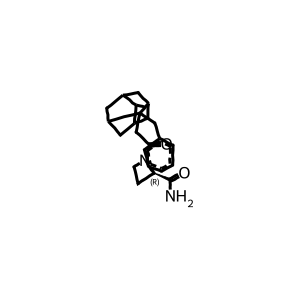 CC1C2CC3CC1CC(C2)C3(CC(=O)N1CC[C@@H]1C(N)=O)Cc1ccccc1